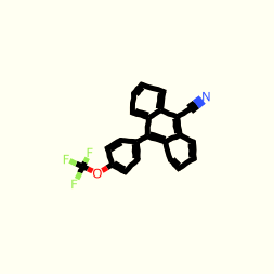 N#Cc1c2ccccc2c(-c2ccc(OC(F)(F)F)cc2)c2ccccc12